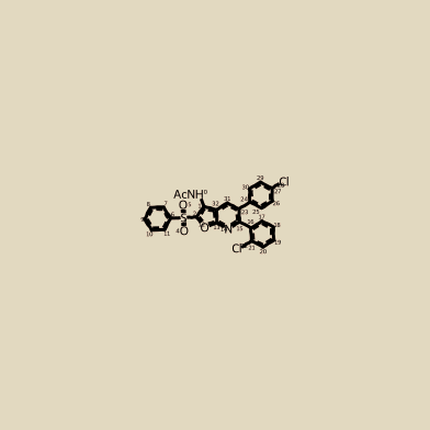 CC(=O)Nc1c(S(=O)(=O)c2ccccc2)oc2nc(-c3ccccc3Cl)c(-c3ccc(Cl)cc3)cc12